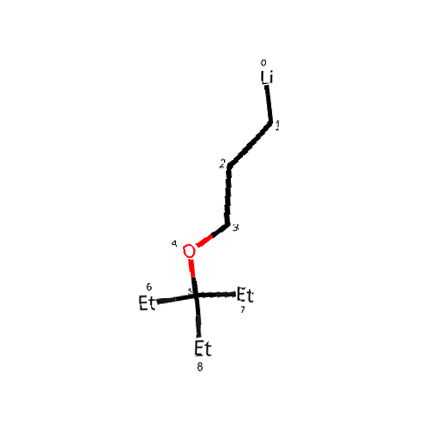 [Li][CH2]CCOC(CC)(CC)CC